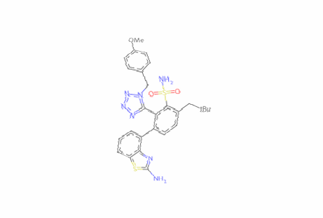 COc1ccc(Cn2nnnc2-c2c(-c3cccc4sc(N)nc34)ccc(CC(C)(C)C)c2S(N)(=O)=O)cc1